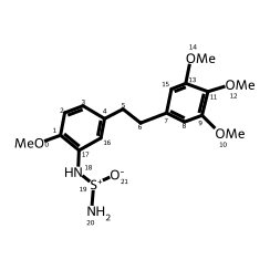 COc1ccc(CCc2cc(OC)c(OC)c(OC)c2)cc1N[S+](N)[O-]